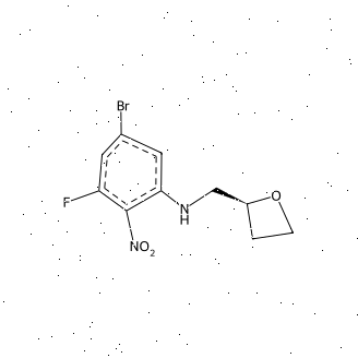 O=[N+]([O-])c1c(F)cc(Br)cc1NC[C@@H]1CCO1